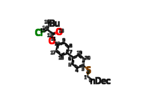 CCCCCCCCCCCSc1ccc(-c2ccc(OC(=O)[C@@H](Cl)C(C)CC)cc2)cc1